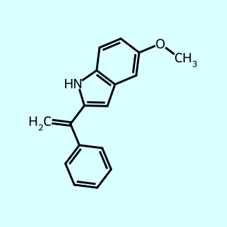 C=C(c1ccccc1)c1cc2cc(OC)ccc2[nH]1